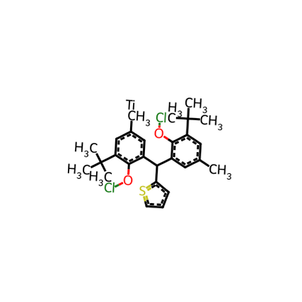 Cc1cc(C(c2cccs2)c2cc(C)cc(C(C)(C)C)c2OCl)c(OCl)c(C(C)(C)C)c1.[Ti]